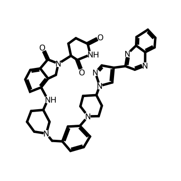 O=C1CCC(N2Cc3c(NC4CCCN(Cc5cccc(N6CCC(n7cc(-c8cnc9ccccc9n8)cn7)CC6)c5)C4)cccc3C2=O)C(=O)N1